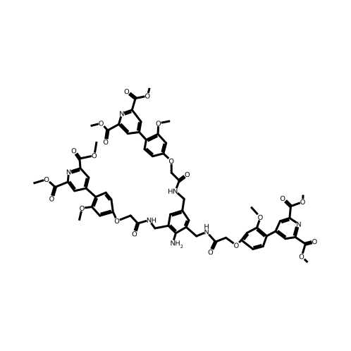 COC(=O)c1cc(-c2ccc(OCC(=O)NCc3cc(CNC(=O)COc4ccc(-c5cc(C(=O)OC)nc(C(=O)OC)c5)c(OC)c4)c(N)c(CNC(=O)COc4ccc(-c5cc(C(=O)OC)nc(C(=O)OC)c5)c(OC)c4)c3)cc2OC)cc(C(=O)OC)n1